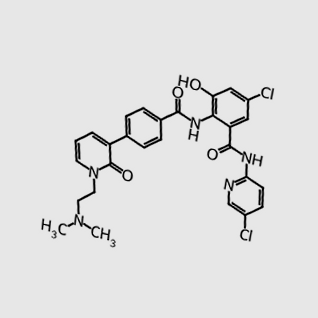 CN(C)CCn1cccc(-c2ccc(C(=O)Nc3c(O)cc(Cl)cc3C(=O)Nc3ccc(Cl)cn3)cc2)c1=O